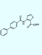 COC(=O)c1sccc1NC(=O)c1ccc(-c2ccccc2)cc1